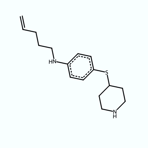 C=CCCCNc1ccc(SC2CCNCC2)cc1